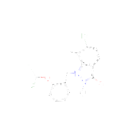 Cc1c(Br)ccc2c(=O)n(C)n(Cc3ccccc3OC(F)F)c12